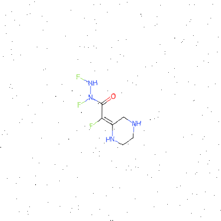 O=C(/C(F)=C1\CNCCN1)N(F)NF